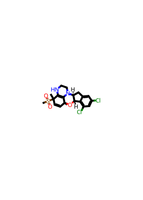 CC12C=CC(C)(S(C)(=O)=O)C3=C1N(CCN3)[C@H]1Cc3cc(Cl)cc(Cl)c3[C@@H]1O2